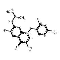 CC(Nc1cc2c(cc1F)c(=O)c(C#N)cn2Cc1ccc(C(F)(F)F)cc1F)C(=O)O